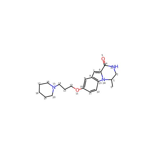 CC1CNC(=O)c2cc3cc(OCCCN4CCCCC4)ccc3n21